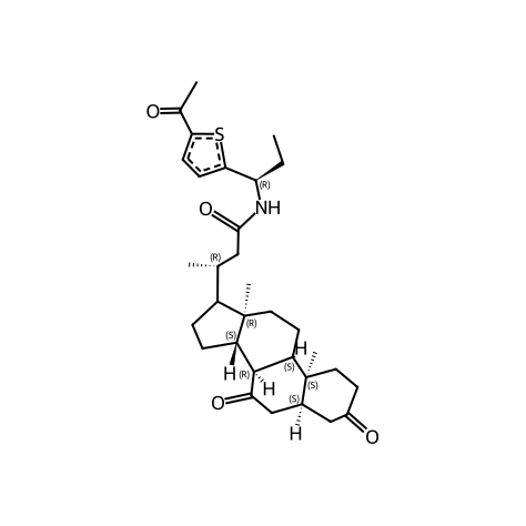 CC[C@@H](NC(=O)C[C@@H](C)C1CC[C@H]2[C@@H]3C(=O)C[C@@H]4CC(=O)CC[C@]4(C)[C@H]3CC[C@]12C)c1ccc(C(C)=O)s1